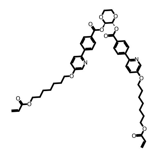 C=CC(=O)OCCCCCCCOc1ccc(-c2ccc(C(=O)O[C@H]3OCCO[C@@H]3OC(=O)c3ccc(-c4ccc(OCCCCCCCOC(=O)C=C)cn4)cc3)cc2)nc1